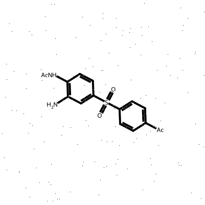 CC(=O)Nc1ccc(S(=O)(=O)c2ccc(C(C)=O)cc2)cc1N